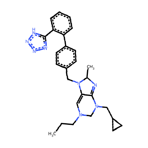 CCCN1C=C2C(=NC(C)N2Cc2ccc(-c3ccccc3-c3nnn[nH]3)cc2)N(CC2CC2)C1